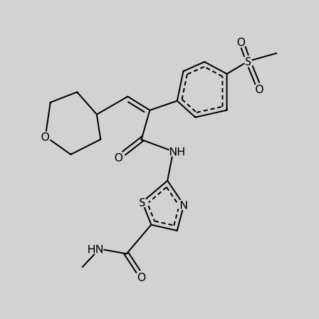 CNC(=O)c1cnc(NC(=O)C(=CC2CCOCC2)c2ccc(S(C)(=O)=O)cc2)s1